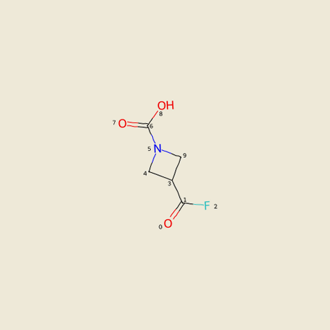 O=C(F)C1CN(C(=O)O)C1